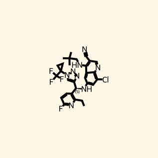 CCc1nc(F)ccc1[C@H](Nc1cc(Cl)c2ncc(C#N)c(NCC(C)(C)C)c2c1)c1cn(C2(C(F)(F)F)CC2)nn1